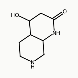 O=C1CC(O)C2CCNCC2N1